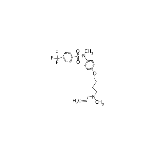 C=CCN(C)CCCCOc1ccc(N(C)S(=O)(=O)c2ccc(C(F)(F)F)cc2)cc1